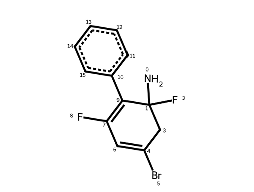 NC1(F)CC(Br)=CC(F)=C1c1ccccc1